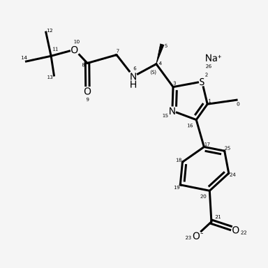 Cc1sc([C@H](C)NCC(=O)OC(C)(C)C)nc1-c1ccc(C(=O)[O-])cc1.[Na+]